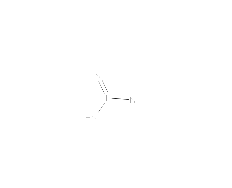 N[P](=S)S